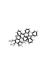 Bc1c(B)c(B)c(-c2c3ccccc3c(-c3ccccc3-c3nc4ccccc4n3-c3ccccc3)c3ccccc23)c(B)c1B